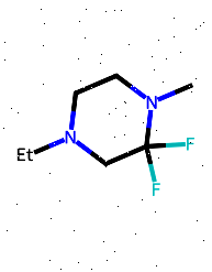 CCN1CCN(C)C(F)(F)C1